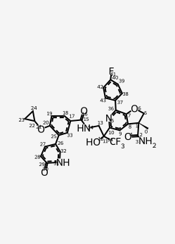 C[C@]1(C(N)=O)COc2c1cc(C(O)(CNC(=O)c1ccc(OC3CC3)c(-c3ccc(=O)[nH]c3)c1)C(F)(F)F)nc2-c1ccc(F)cc1